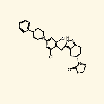 O=C1CCCN1[C@H]1CCc2n[nH]c(Cc3c(Cl)cc(N4CCC(c5ccccc5)CC4)cc3Cl)c2C1